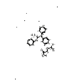 NC(=Nc1ccccc1)N(c1ccccc1)c1ccccc1.O=C(O)CCC(=O)O